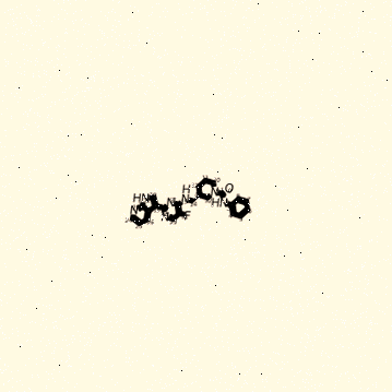 O=C(Nc1ccccc1)N1CCC[C@H](CNc2nc(-c3c[nH]c4ncccc34)ncc2F)C1